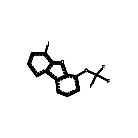 FC(F)(F)Oc1cccc2c1oc1c(I)cccc12